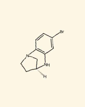 Brc1ccc2c(c1)N[C@H]1CCN2C1